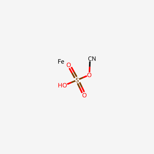 N#COS(=O)(=O)O.[Fe]